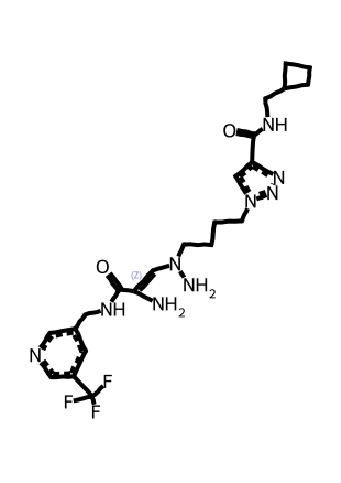 N/C(=C\N(N)CCCCn1cc(C(=O)NCC2CCC2)nn1)C(=O)NCc1cncc(C(F)(F)F)c1